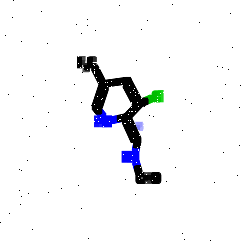 O=CN/C=C1\NC=C(C(F)(F)F)C=C1Cl